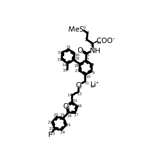 CSCC[C@H](NC(=O)c1ccc(COCCc2ccc(-c3ccc(F)cc3)o2)cc1-c1ccccc1C)C(=O)[O-].[Li+]